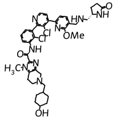 COc1nc(-c2ccnc(-c3cccc(NC(=O)c4nc5c(n4C)CCN(CC4CCC(O)CC4)C5)c3Cl)c2Cl)ccc1CNC[C@@H]1CCC(=O)N1